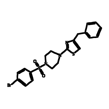 O=S(=O)(c1ccc(Br)cc1)N1CCN(c2nc(Cc3ccccc3)cs2)CC1